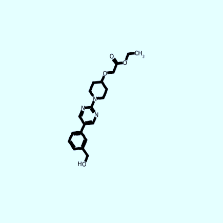 CCOC(=O)COC1CCN(c2ncc(-c3cccc(CO)c3)cn2)CC1